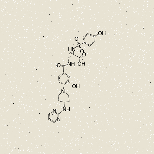 O=C(NC[C@H](NS(=O)(=O)c1ccc(O)cc1)C(=O)O)c1ccc(N2CCC(Nc3ncccn3)CC2)c(O)c1